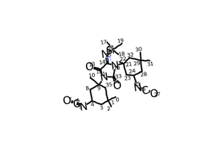 CC1(C)CC(N=C=O)CC(C)(N2C(=O)/C(=N/[Si](C)(C)C)N(C3(C)CC(N=C=O)CC(C)(C)C3)C2=O)C1